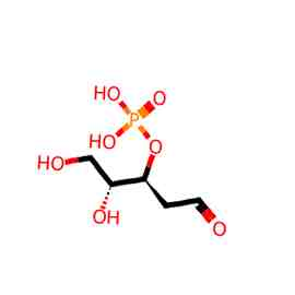 O=CC[C@H](OP(=O)(O)O)[C@H](O)CO